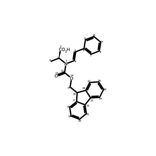 C[C@@H](C(=O)O)N(C=Cc1ccccc1)C(=O)OCC1c2ccccc2-c2ccccc21